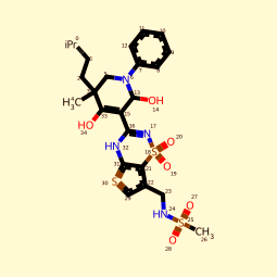 CC(C)CCC1(C)CN(c2ccccc2)C(O)C(C2=NS(=O)(=O)c3c(CNS(C)(=O)=O)csc3N2)=C1O